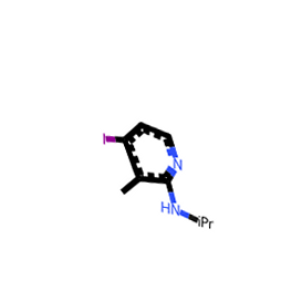 Cc1c(I)ccnc1NC(C)C